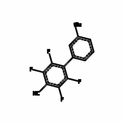 CC(C)(C)c1cccc(-c2c(F)c(F)c(C#N)c(F)c2F)c1